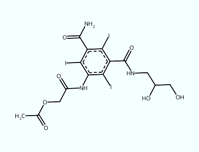 CC(=O)OCC(=O)Nc1c(I)c(C(N)=O)c(I)c(C(=O)NCC(O)CO)c1I